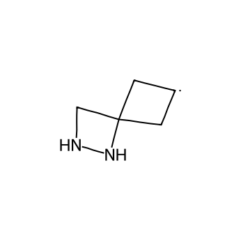 [CH]1CC2(C1)CNN2